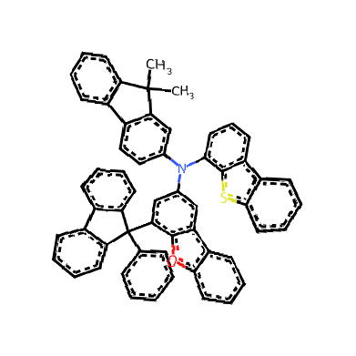 CC1(C)c2ccccc2-c2ccc(N(c3cc(C4(c5ccccc5)c5ccccc5-c5ccccc54)c4oc5ccccc5c4c3)c3cccc4c3sc3ccccc34)cc21